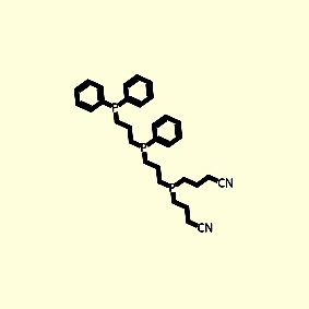 N#CCCCP(CCCC#N)CCCP(CCCP(c1ccccc1)c1ccccc1)c1ccccc1